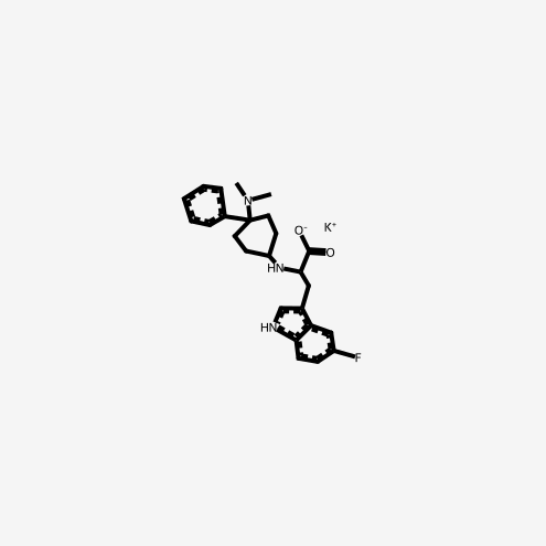 CN(C)C1(c2ccccc2)CCC(NC(Cc2c[nH]c3ccc(F)cc23)C(=O)[O-])CC1.[K+]